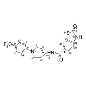 O=C(NCC1=CCN(c2ccc(C(F)(F)F)cc2)CC1)c1ccc2[nH]c(=O)sc2c1